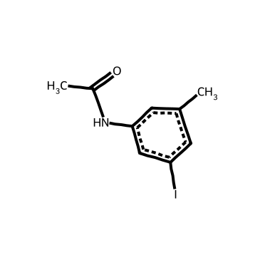 CC(=O)Nc1cc(C)cc(I)c1